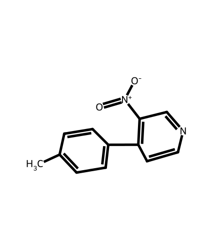 Cc1ccc(-c2ccncc2[N+](=O)[O-])cc1